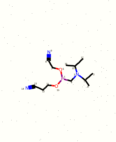 CC(C)N(CP(OCC#N)OCCC#N)C(C)C